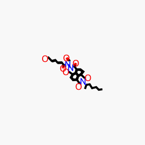 CCCCCC(C)N1C(=O)c2ccc3c4c(ccc(c24)C1=O)C(=O)N(N(C=O)C(=O)/C=C/C=C/C=O)C3=O